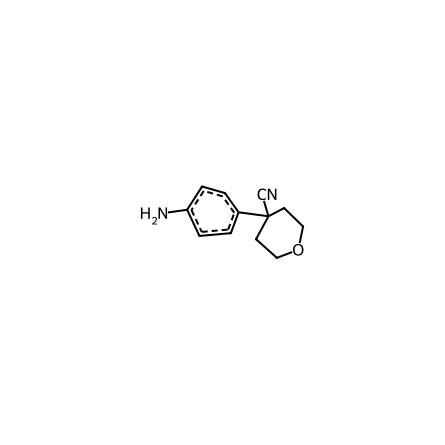 N#CC1(c2ccc(N)cc2)CCOCC1